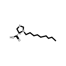 CCCCCCCCCN1CSC[C@H]1C(=O)O